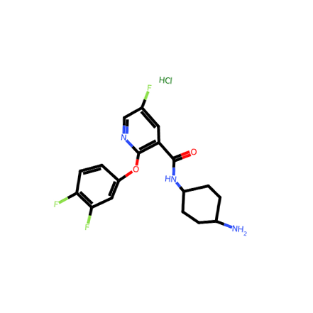 Cl.NC1CCC(NC(=O)c2cc(F)cnc2Oc2ccc(F)c(F)c2)CC1